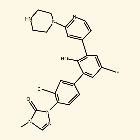 Cn1cnn(-c2ccc(-c3cc(F)cc(-c4ccnc(N5CCNCC5)c4)c3O)cc2Cl)c1=O